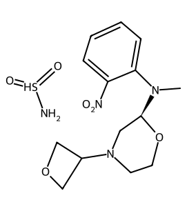 CN(c1ccccc1[N+](=O)[O-])[C@@H]1CN(C2COC2)CCO1.N[SH](=O)=O